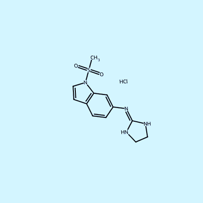 CS(=O)(=O)n1ccc2ccc(N=C3NCCN3)cc21.Cl